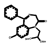 COC(CN1C(=O)CN=C(c2ccccc2)c2cc(Cl)ccc21)OC